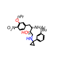 CCCOc1cc(C[C@H](NC(C)=O)[C@H](O)CNC2(c3cccc(C(C)(C)C)c3)CC2)ccc1[N+](=O)[O-]